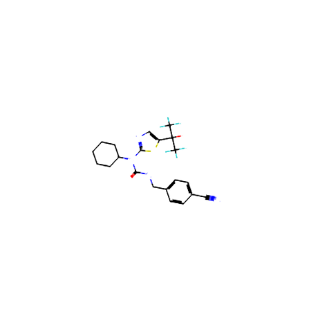 N#Cc1ccc(CNC(=O)N(c2ncc(C(O)(C(F)(F)F)C(F)(F)F)s2)C2CCCCC2)cc1